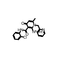 CCCCCc1c(C(=O)Nc2ccccc2Cl)c(=O)cc(C)n1Cc1ccccn1